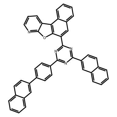 c1ccc2cc(-c3ccc(-c4nc(-c5ccc6ccccc6c5)nc(-c5cc6ccccc6c6c5oc5ncccc56)n4)cc3)ccc2c1